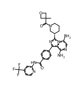 Bc1cnc(N)c2c(-c3ccc(C(=O)Nc4cc(C(F)(F)F)ccn4)cc3)nc([C@@H]3CCCN(C(=O)C4(C)COC4)C3)n12